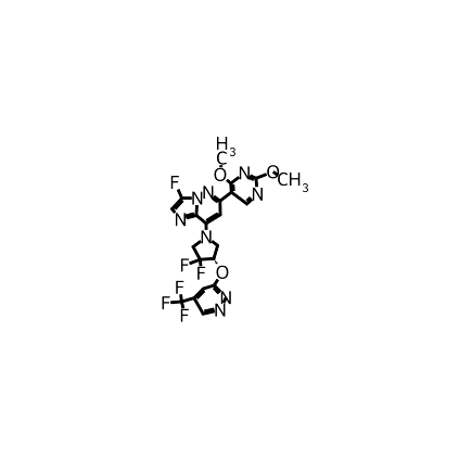 COc1ncc(-c2cc(N3C[C@H](Oc4cc(C(F)(F)F)cnn4)C(F)(F)C3)c3ncc(F)n3n2)c(OC)n1